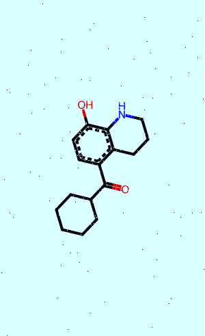 O=C(c1ccc(O)c2c1CCCN2)C1CCCCC1